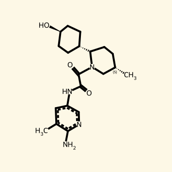 Cc1cc(NC(=O)C(=O)N2C[C@@H](C)CCC2[C@H]2CC[C@H](O)CC2)cnc1N